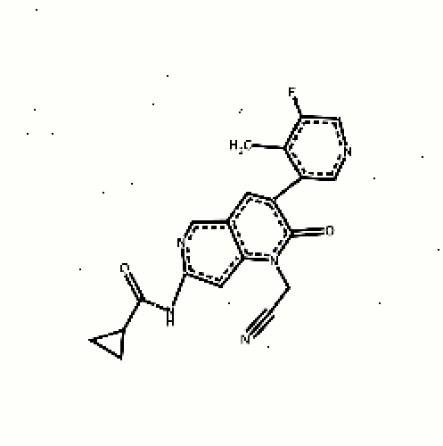 Cc1c(F)cncc1-c1cc2cnc(NC(=O)C3CC3)cc2n(CC#N)c1=O